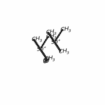 CCCCCCCCCCCCC[CH2][Sn+]([CH2]CCCCCCCCCCCCC)[CH2]CCCCCCCCCCCCC.CCCCCCCCCCCCC[CH2][Sn+]([CH2]CCCCCCCCCCCCC)[CH2]CCCCCCCCCCCCC.[O]=[Cr](=[O])([O-])[O-]